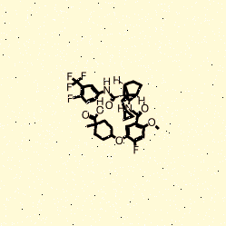 COc1cc(F)c(OC2CCC(C)(C(=O)O)CC2)cc1C(=O)N[C@H]1[C@@H](C(=O)Nc2ccc(F)c(C(F)(F)F)c2)[C@H]2CC[C@@H]1/C2=C\C1CC1